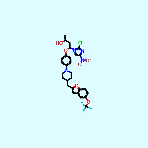 CC(O)CC(Oc1ccc(N2CCC(Cc3cc4cc(OC(F)(F)F)ccc4o3)CC2)cc1)n1cc([N+](=O)[O-])nc1Cl